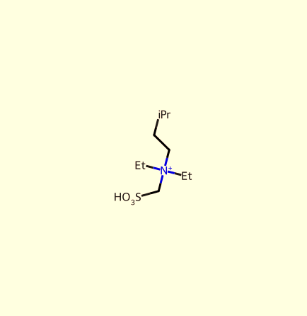 CC[N+](CC)(CCC(C)C)CS(=O)(=O)O